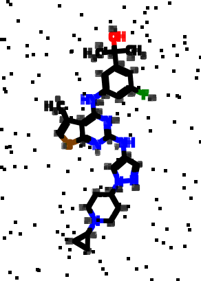 Cc1csc2nc(Nc3cnn(C4CCN(C5CC5)CC4)c3)nc(Nc3cc(F)cc(C(C)(C)O)c3)c12